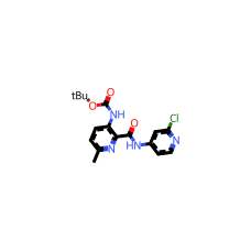 Cc1ccc(NC(=O)OC(C)(C)C)c(C(=O)Nc2ccnc(Cl)c2)n1